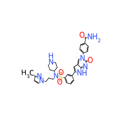 Cc1ccn(CCCN(C2CCNCC2)S(=O)(=O)c2cccc(-c3cc4cn(-c5ccc(C(N)=O)cc5)c(=O)nc4[nH]3)c2)n1